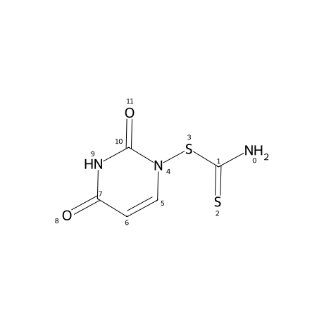 NC(=S)Sn1ccc(=O)[nH]c1=O